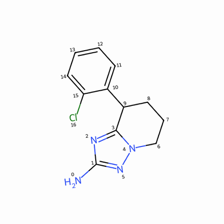 Nc1nc2n(n1)CCCC2c1ccccc1Cl